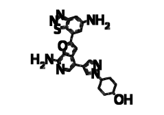 Nc1cc(-c2cc3c(-c4cnn(C5CCC(O)CC5)c4)cnc(N)c3o2)c2snnc2c1